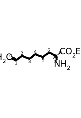 C=CCCCCC[C@@H](N)C(=O)OCC